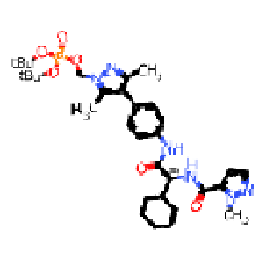 Cc1nn(COP(=O)(OC(C)(C)C)OC(C)(C)C)c(C)c1-c1ccc(NC(=O)[C@@H](NC(=O)c2ccnn2C)C2CCCCC2)cc1